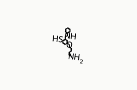 N/C=C\C=C/COc1ccc(S)c(CNc2ccccc2)c1